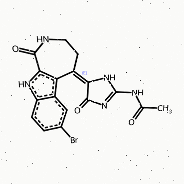 CC(=O)NC1=NC(=O)/C(=C2/CCNC(=O)c3[nH]c4ccc(Br)cc4c32)N1